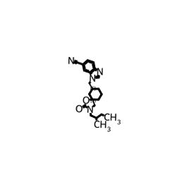 CCC(C)CN1C[C@@]2(CCC[C@H](Cn3cnc4ccc(C#N)cc43)C2)OC1=O